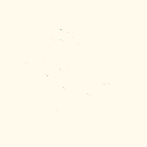 COC(=O)N1CC(c2cccc3cc(-c4nc5cc(C(=O)N6C[C@H]7CC[C@@H]6C7C)cc(OC)c5n4C)n(CC4CC4)c23)C1